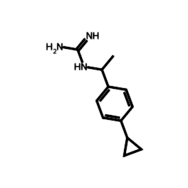 CC(NC(=N)N)c1ccc(C2CC2)cc1